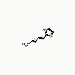 [CH2]/C=C/C=C/c1ncc[nH]1